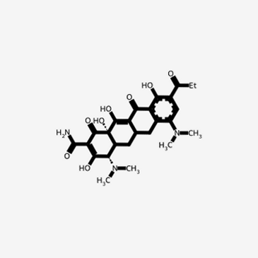 CCC(=O)c1cc(N(C)C)c2c(c1O)C(=O)C1=C(O)[C@]3(O)C(=O)C(C(N)=O)=C(O)[C@@H](N(C)C)C3CC1C2